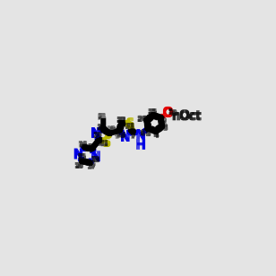 CCCCCCCCOc1ccc(Nc2nc(-c3sc(-c4cnccn4)nc3C)cs2)cc1